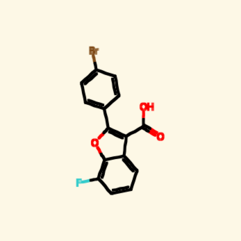 O=C(O)c1c(-c2ccc(Br)cc2)oc2c(F)cccc12